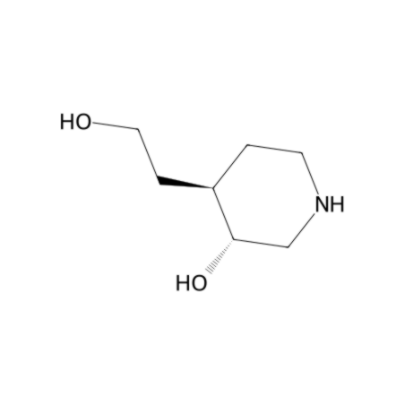 OCC[C@H]1CCNC[C@@H]1O